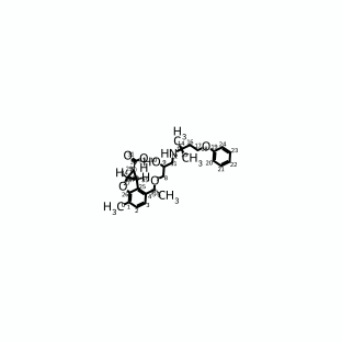 Cc1ccc([C@@H](C)OCC(O)CNC(C)(C)CCOc2ccccc2)c2c1O[C@@H]1[C@@H](C(=O)O)[C@H]21